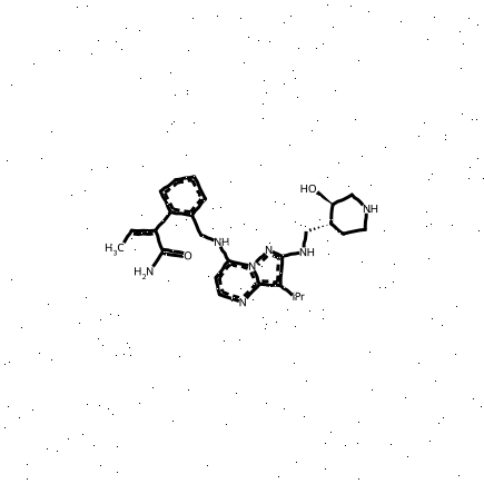 CC=C(C(N)=O)c1ccccc1CNc1ccnc2c(C(C)C)c(NC[C@H]3CCNC[C@@H]3O)nn12